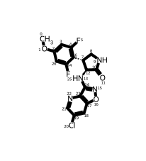 COc1cc(F)c([C@@H]2CNC(=O)[C@H]2Nc2noc3cc(Cl)cnc23)c(F)c1